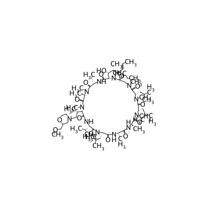 C/C=C/C[C@@H](C)[C@@H](O)[C@H]1C(=O)N[C@@H](CC)C(=O)N(C)[C@H](C)C(=O)N(C)[C@@H]([C@@H](C)CN2CCOC(COC)C2)C(=O)N[C@@H](C(C)C)C(=O)N(C)[C@@H](CC(C)C)C(=O)N[C@@H](C)C(=O)N[C@H](C)C(=O)N(C)[C@@H](CC(C)C)C(=O)N(C)[C@@H](CC(C)C)C(=O)N(C)[C@@H](C(C)C)C(=O)N1C